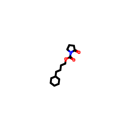 O=C1CCCN1C(=O)OCCCCC1CCCCC1